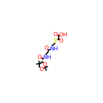 CC1(C)OCC(C)(C)[C@H](C(=O)NCCC(=O)NCCSC(=O)C(=O)O)O1